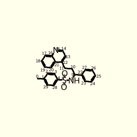 Cc1ccc(S(=O)(=O)NC(CCc2ccnc3ccccc23)c2ccccc2)cc1